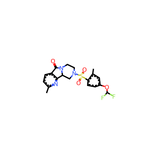 Cc1ccc2c(n1)C1CN(S(=O)(=O)c3ccc(OC(F)F)cc3C)CCN1C2=O